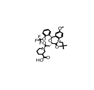 COc1ccc2c(c1)[C@H](c1ccccc1OC(F)(F)F)O[C@@H](CC(=O)N1CCCC(C(=O)O)C1)C(=O)N2CC(C)(C)C